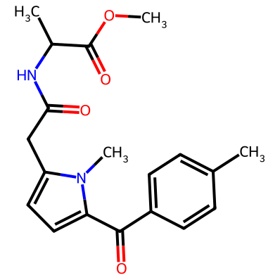 COC(=O)C(C)NC(=O)Cc1ccc(C(=O)c2ccc(C)cc2)n1C